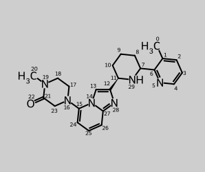 Cc1cccnc1C1CCC[C@H](c2cn3c(N4CCN(C)C(=O)C4)cccc3n2)N1